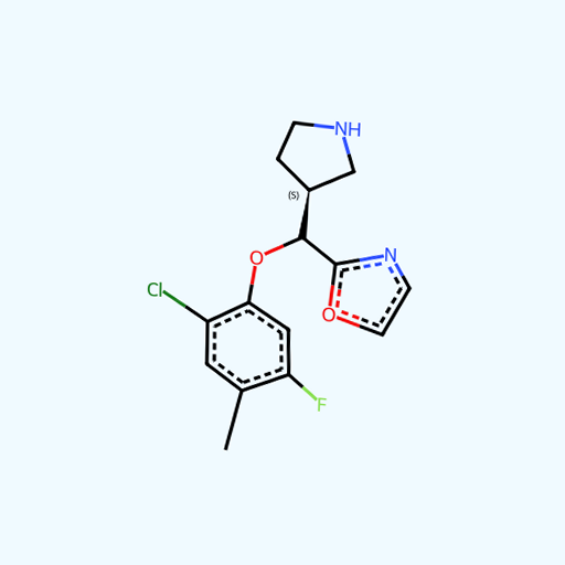 Cc1cc(Cl)c(OC(c2ncco2)[C@H]2CCNC2)cc1F